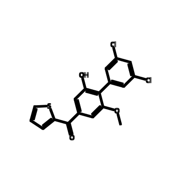 COc1cc(C(=O)c2cccs2)cc(O)c1-c1cc(Cl)cc(Cl)c1